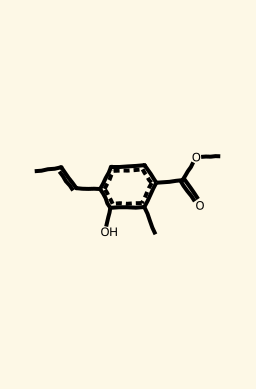 CC=Cc1ccc(C(=O)OC)c(C)c1O